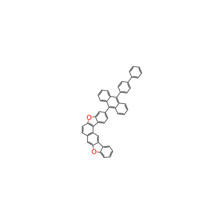 c1ccc(-c2ccc(-c3c4ccccc4c(-c4ccc5c(c4)oc4ccc6cc7oc8ccccc8c7cc6c45)c4ccccc34)cc2)cc1